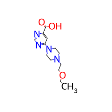 CCOCCN1CCN(c2cc(C(=O)O)ncn2)CC1